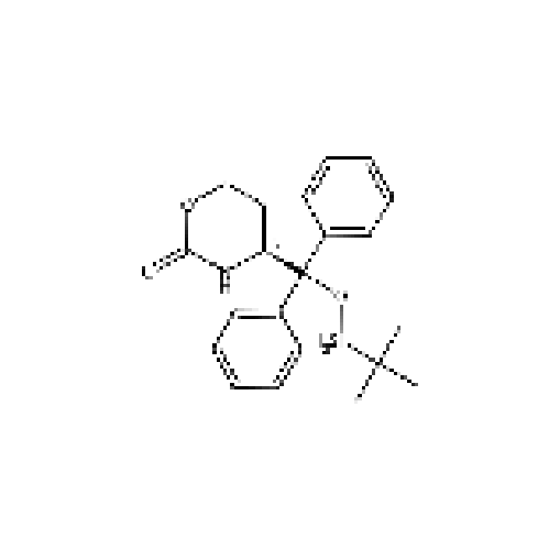 CC(C)(C)[SiH2]OC(c1ccccc1)(c1ccccc1)[C@@H]1CCOC(=O)N1